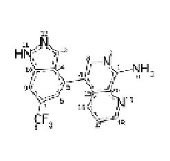 Nc1ncc(-c2cc(C(F)(F)F)cc3[nH]ncc23)c2cccnc12